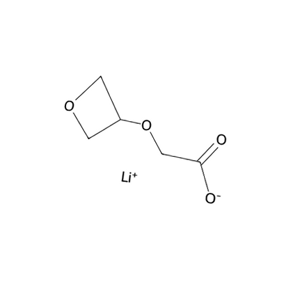 O=C([O-])COC1COC1.[Li+]